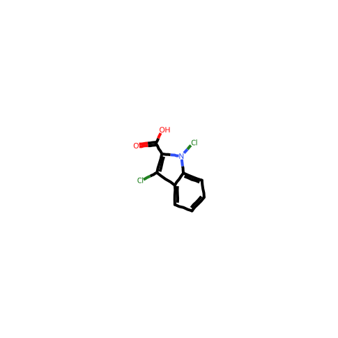 O=C(O)c1c(Cl)c2ccccc2n1Cl